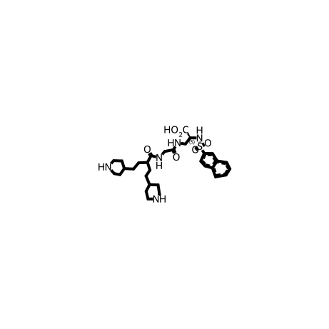 O=C(CNC(=O)C(CCC1CCNCC1)CCC1CCNCC1)NC[C@H](NS(=O)(=O)c1ccc2ccccc2c1)C(=O)O